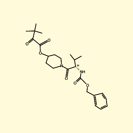 CC(C)[C@H](NC(=O)OCc1ccccc1)C(=O)N1CCC(OC(=O)C(=O)C(C)(C)C)CC1